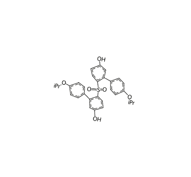 CC(C)Oc1ccc(-c2cc(O)ccc2S(=O)(=O)c2ccc(O)cc2-c2ccc(OC(C)C)cc2)cc1